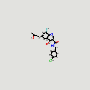 CC(=O)CCc1cc(F)c2ncc(C(=O)NCc3ccc(Cl)cc3)c(O)c2c1